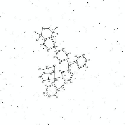 CC1(C)CCC(C)(C)c2cc(-c3ccc(N(c4ccccc4)c4ccc5c(c4)C4(c6ccccc6O5)C5CC6CC7CC4C75C6)cc3)ccc21